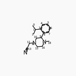 CC(C)c1ccccc1C1CN(CC#N)CCN1C